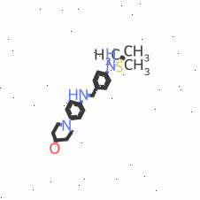 CC(C)(C)SNc1ccc(CNc2ccc(N3CCC(=O)CC3)cc2)cc1